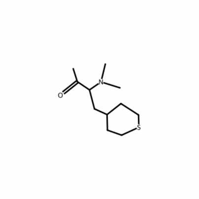 CC(=O)C(CC1CCSCC1)N(C)C